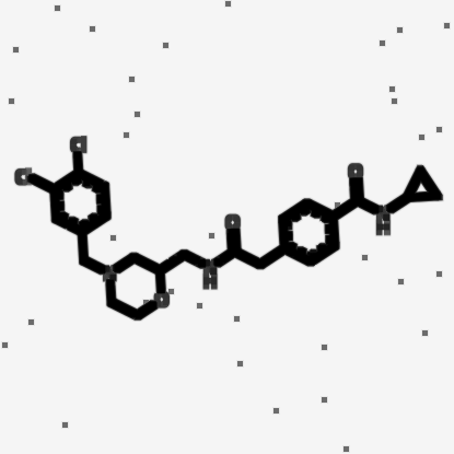 O=C(Cc1ccc(C(=O)NC2CC2)cc1)NCC1CN(Cc2ccc(Cl)c(Cl)c2)CCO1